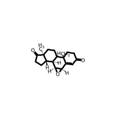 C[C@]12CCC(=O)C=C1[C@H]1O[C@H]1[C@@H]1[C@@H]2CC[C@]2(C)C(=O)CC[C@@H]12